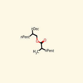 CCCCCCCCCCC(CCCCC)COC(=O)C(C)CCCCC